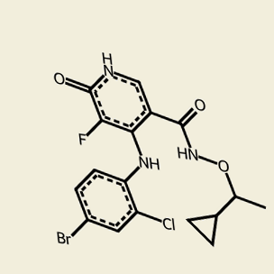 CC(ONC(=O)c1c[nH]c(=O)c(F)c1Nc1ccc(Br)cc1Cl)C1CC1